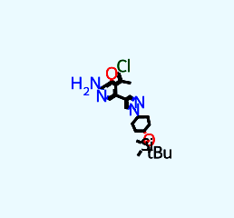 Cc1c(Cl)oc2c(N)ncc(-c3cnn(C4CCC(O[Si](C)(C)C(C)(C)C)CC4)c3)c12